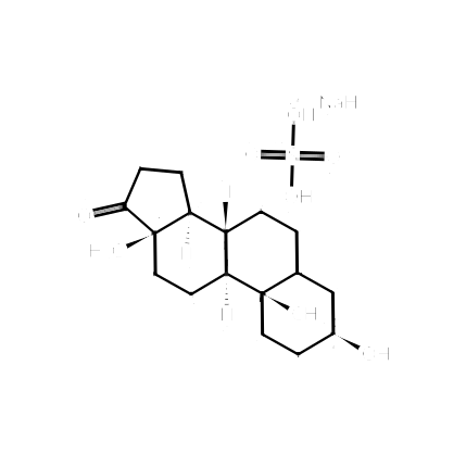 C[C@]12CC[C@H](O)CC1CC[C@@H]1[C@@H]2CC[C@]2(C)C(=O)CC[C@@H]12.O=S(=O)(O)O.[NaH]